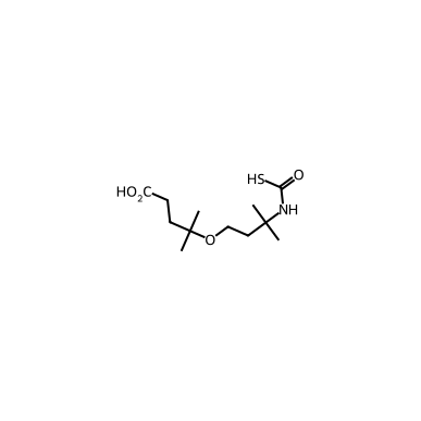 CC(C)(CCOC(C)(C)CCC(=O)O)NC(=O)S